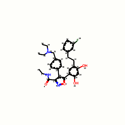 CCNC(=O)c1noc(-c2cc(CCc3cccc(F)c3)c(O)cc2O)c1-c1ccc(CN(CC)CC)cc1